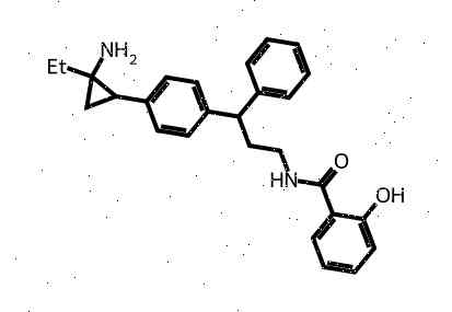 CCC1(N)CC1c1ccc(C(CCNC(=O)c2ccccc2O)c2ccccc2)cc1